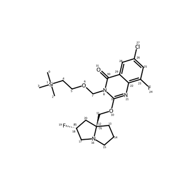 C[Si](C)(C)CCOCn1c(OC[C@@]23CCCN2C[C@H](F)C3)nc2c(F)cc(Cl)cc2c1=O